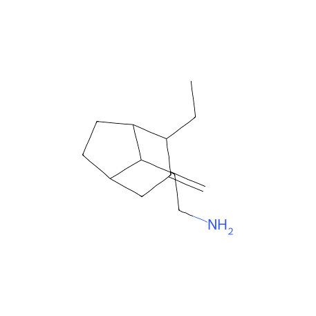 C=C1CC2CCC(C1CC)C2CCN